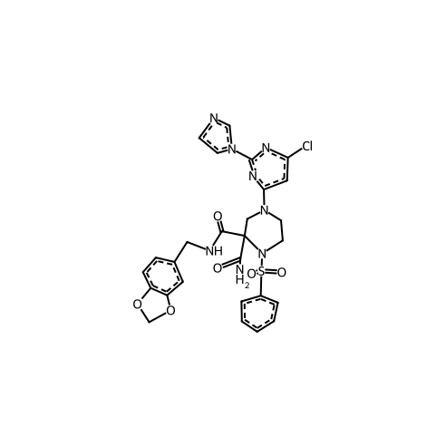 NC(=O)C1(C(=O)NCc2ccc3c(c2)OCO3)CN(c2cc(Cl)nc(-n3ccnc3)n2)CCN1S(=O)(=O)c1ccccc1